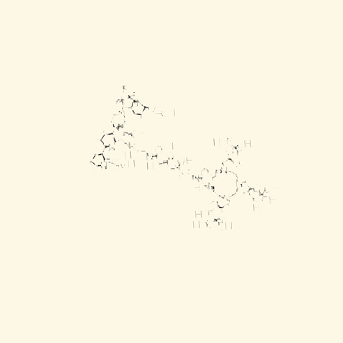 CCOc1ccc(C(=O)N2CCN(c3ccc(-c4cccnc4OCC)nc3CNCCCNC(=O)C[C@H](O)C[C@H](O)CCNC(=O)CN3CCN(CC(=O)OC(C)(C)C)CCN(CC(=O)OC(C)(C)C)CCN(CC(=O)OC(C)(C)C)CC3)[C@H](CC)C2)c(C(F)(F)F)n1